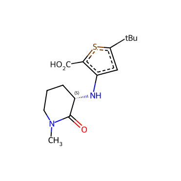 CN1CCC[C@H](Nc2cc(C(C)(C)C)sc2C(=O)O)C1=O